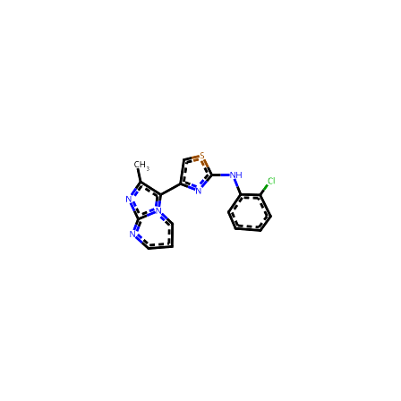 Cc1nc2ncccn2c1-c1csc(Nc2ccccc2Cl)n1